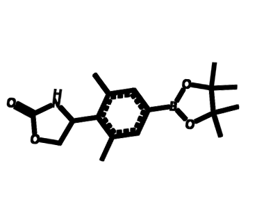 Cc1cc(B2OC(C)(C)C(C)(C)O2)cc(C)c1C1COC(=O)N1